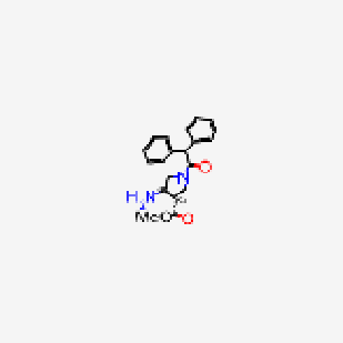 COC(=O)[C@H]1CN(C(=O)C(c2ccccc2)c2ccccc2)C[C@@H]1N